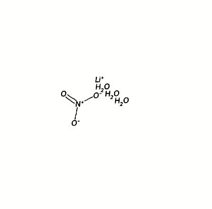 O.O.O.O=[N+]([O-])[O-].[Li+]